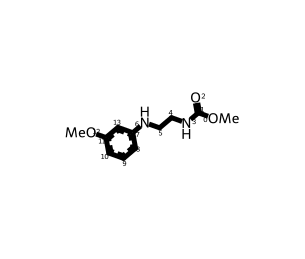 COC(=O)NCCNc1cccc(OC)c1